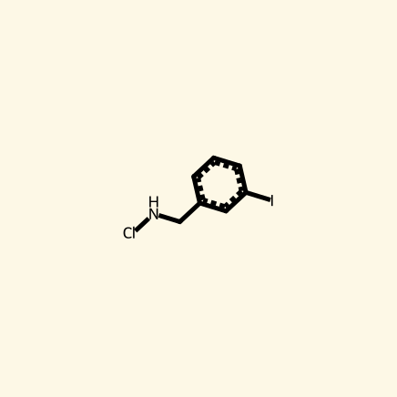 ClNCc1cccc(I)c1